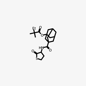 CCC(C)(C)C(=O)OC12CC3CC(C1)CC(C(=O)NC1CCSC1=O)(C3)C2